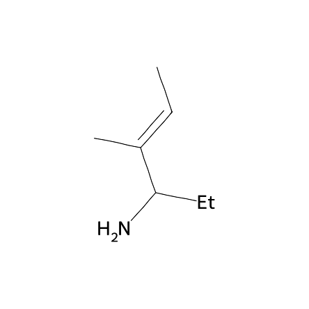 CC=C(C)C(N)CC